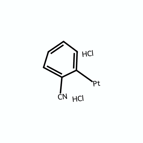 Cl.Cl.N#Cc1cccc[c]1[Pt]